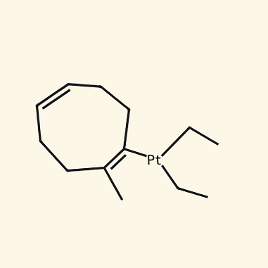 C[CH2][Pt]([CH2]C)[C]1=C(C)CCC=CCC1